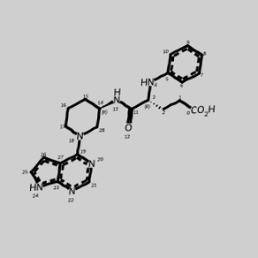 O=C(O)CC[C@@H](Nc1ccccc1)C(=O)N[C@@H]1CCCN(c2ncnc3[nH]ccc23)C1